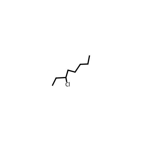 CCCCCC(Cl)CC